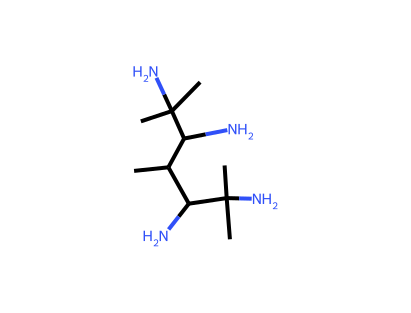 CC(C(N)C(C)(C)N)C(N)C(C)(C)N